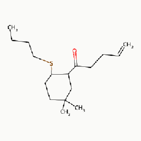 C=CCCC(=O)C1CC(C)(C)CCC1SCCCC